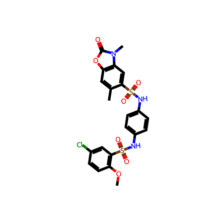 COc1ccc(Cl)cc1S(=O)(=O)Nc1ccc(NS(=O)(=O)c2cc3c(cc2C)oc(=O)n3C)cc1